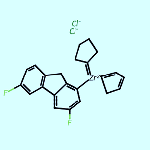 Fc1ccc2c(c1)-c1cc(F)c[c]([Zr+2]([C]3=CC=CC3)=[C]3CCCC3)c1C2.[Cl-].[Cl-]